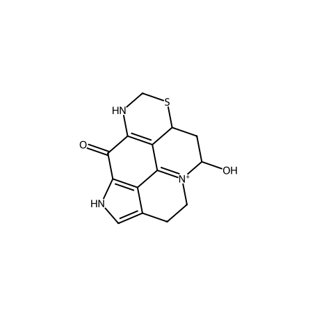 O=C1C2=C3C4=[N+](CCc5c[nH]c1c54)C(O)CC3SCN2